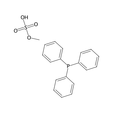 COS(=O)(=O)O.c1ccc(P(c2ccccc2)c2ccccc2)cc1